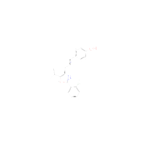 CC(C)c1oc(-c2ccccc2Cl)nc1C/C=C/c1ccc(O)cc1